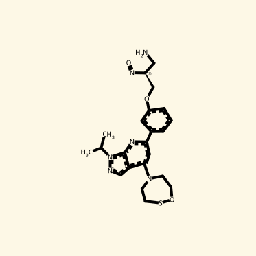 CC(C)n1ncc2c(N3CCOSCC3)cc(-c3cccc(OC[C@H](CN)N=O)c3)nc21